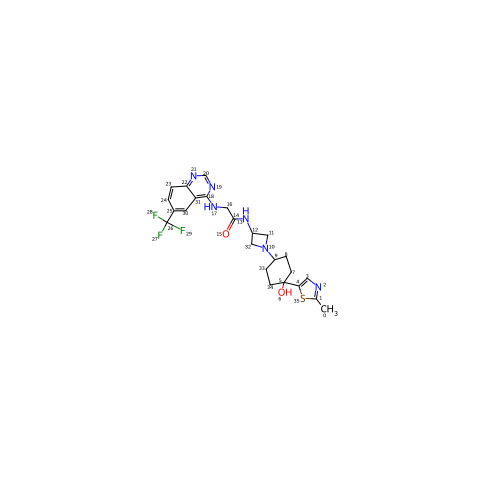 Cc1ncc(C2(O)CCC(N3CC(NC(=O)CNc4ncnc5ccc(C(F)(F)F)cc45)C3)CC2)s1